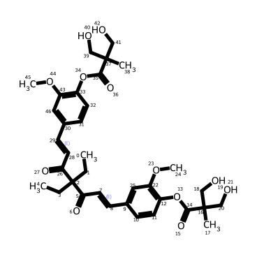 CCC(CC)(C(=O)/C=C/c1ccc(OC(=O)C(C)(CO)CO)c(OC)c1)C(=O)/C=C/c1ccc(OC(=O)C(C)(CO)CO)c(OC)c1